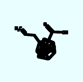 C=CC[C]12[CH]3[CH]4[CH]5[C]1(C(=O)O)[Fe]43521678[CH]2[CH]1[CH]6[CH]7[CH]28